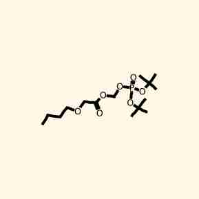 CCCCOCC(=O)OCOP(=O)(OC(C)(C)C)OC(C)(C)C